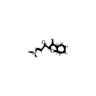 Cc1c(C(=O)C=CN(C)C)oc2ccccc12